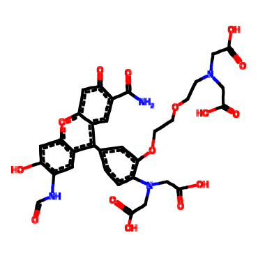 NC(=O)c1cc2c(-c3ccc(N(CC(=O)O)CC(=O)O)c(OCCOCCN(CC(=O)O)CC(=O)O)c3)c3cc(NC=O)c(O)cc3oc-2cc1=O